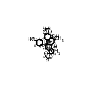 C[C@@H]1C[C@@H]2[C@H]([C@@H](c3ccc(O)cc3)C[C@@]3(C)[C@H]2CCC32OCCO2)[C@H]2CCC3(C[C@]12O)OCCO3